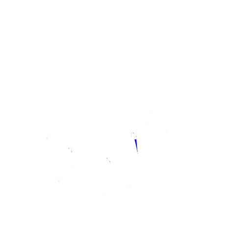 C[C@@H]1C2CCCC2CN1C(=O)C(NC(=O)[C@@H](NC(=O)OCc1ccccc1)C1CCCCC1)C(C)(C)C